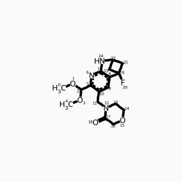 COC(OC)c1nc2c(cc1CN1CCOCC1=O)C1(F)CC(C1)N2